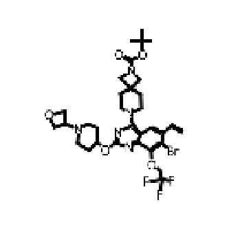 C=Cc1cc2c(N3CCC4(CC3)CN(C(=O)OC(C)(C)C)C4)nc(OC3CCN(C4COC4)CC3)nc2c(OCC(F)(F)F)c1Br